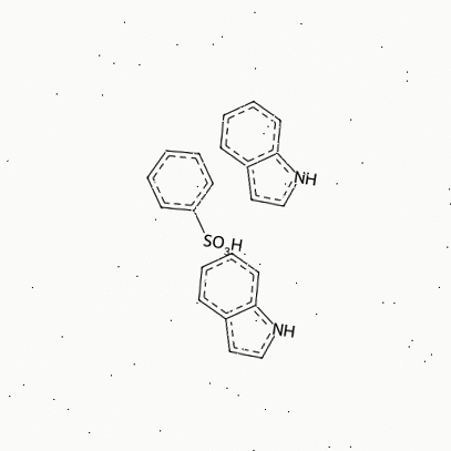 O=S(=O)(O)c1ccccc1.c1ccc2[nH]ccc2c1.c1ccc2[nH]ccc2c1